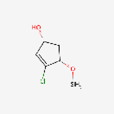 O[C@H]1C=C(Cl)[C@@H](O[SiH3])C1